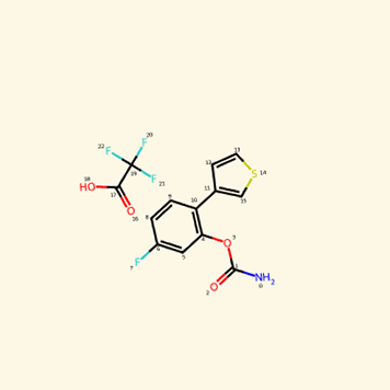 NC(=O)Oc1cc(F)ccc1-c1ccsc1.O=C(O)C(F)(F)F